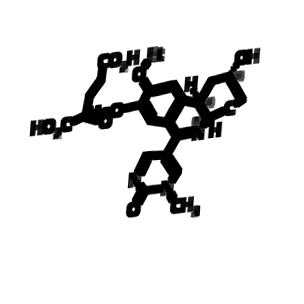 CCOc1cc2c(cc1OC)C(c1cnc(=O)n(C)c1)=N[C@@H]1CC[C@@H](O)C[C@H]21.O=C(O)CCC(=O)C(=O)O